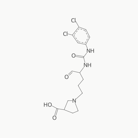 O=CC(CCCN1CCC(C(=O)O)C1)NC(=O)Nc1ccc(Cl)c(Cl)c1